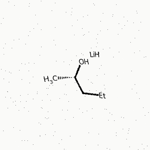 CCC[C@H](C)O.[LiH]